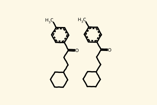 Cc1ccc(C(=O)CCC2CCCCC2)cc1.Cc1ccc(C(=O)CCC2CCCCC2)cc1